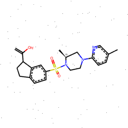 C=C(O)C1CCc2ccc(S(=O)(=O)N3CCN(c4ccc(C)cn4)C[C@@H]3C)cc21